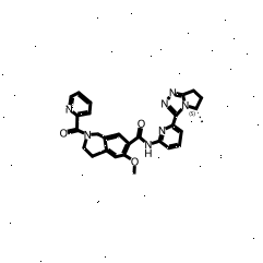 COc1cc2c(cc1C(=O)Nc1cccc(-c3nnc4n3[C@@H](C)CC4)n1)CN(C(=O)c1ccccn1)CC2